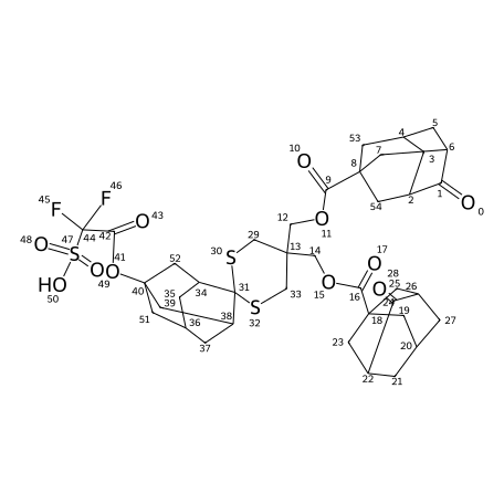 O=C1C2CC3CC1CC(C(=O)OCC1(COC(=O)C45CC6CC(C4)C(=O)C(C6)C5)CSC4(SC1)C1CC5CC4CC(OC(=O)C(F)(F)S(=O)(=O)O)(C5)C1)(C3)C2